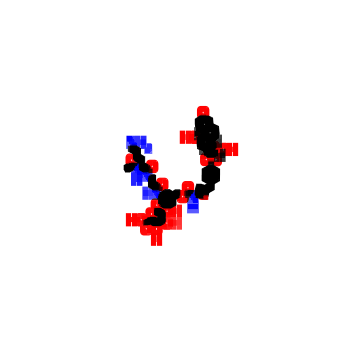 CC(=O)N[C@@H](CCCCN)C(=O)NCCC(=O)Nc1cc(COC(=O)NC23CC(Cc4ccc([C@H]5O[C@@H]6C[C@H]7[C@@H]8CCC9=CC(=O)C=C[C@]9(C)[C@H]8[C@@H](O)C[C@]7(C)[C@]6(C(=O)CO)O5)cc4)(C2)C3)ccc1O[C@@H]1O[C@H](C(=O)O)[C@@H](O)[C@H](O)[C@H]1O